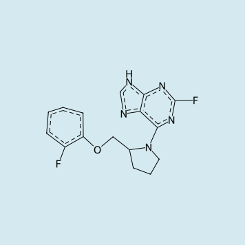 Fc1nc(N2CCCC2COc2ccccc2F)c2nc[nH]c2n1